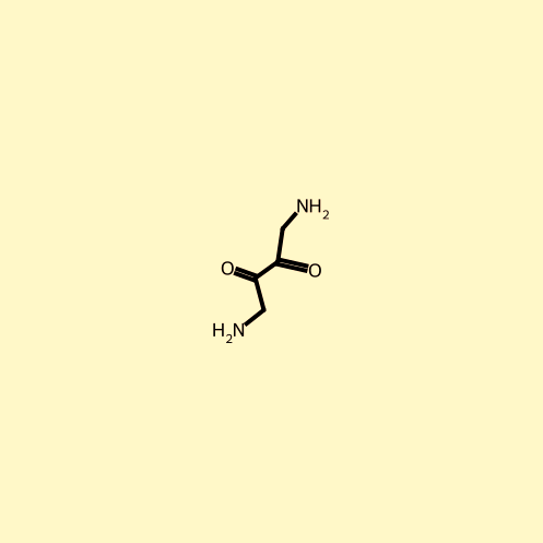 NCC(=O)C(=O)CN